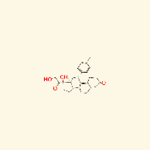 Cc1ccc([C@H]2C[C@@]3(C)C(CC[C@]3(O)C(=O)CO)C3CCC4=CC(=O)CCC4=C32)cc1